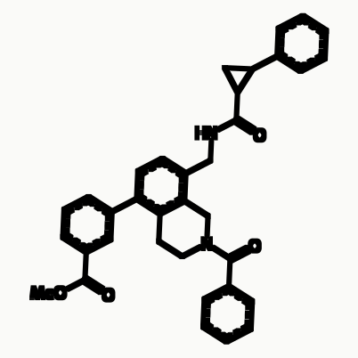 COC(=O)c1cccc(-c2ccc(CNC(=O)C3CC3c3ccccc3)c3c2CCN(C(=O)c2ccccc2)C3)c1